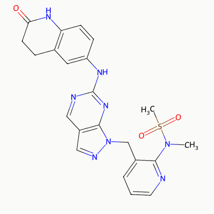 CN(c1ncccc1Cn1ncc2cnc(Nc3ccc4c(c3)CCC(=O)N4)nc21)S(C)(=O)=O